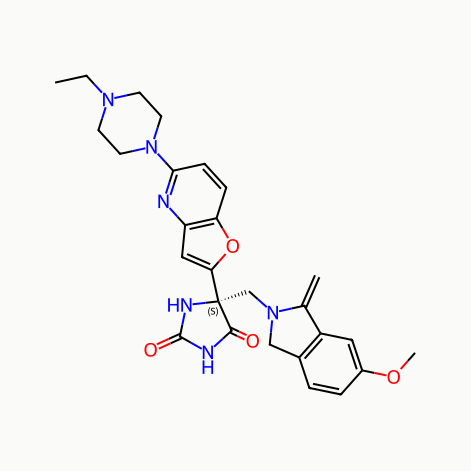 C=C1c2cc(OC)ccc2CN1C[C@@]1(c2cc3nc(N4CCN(CC)CC4)ccc3o2)NC(=O)NC1=O